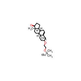 CC(C)(C)[Si](C)(C)OCCOC1CC[C@@]2(C)C(=CC[C@@H]3[C@H]2CC[C@]2(C)C(=O)CC[C@@H]32)C1